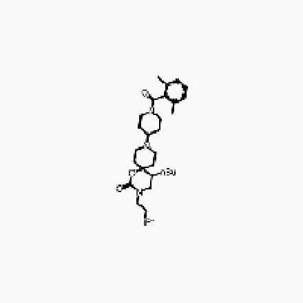 CCCCC1CN(CCC(C)C)C(=O)OC12CCN(C1CCN(C(=O)c3c(C)cccc3C)CC1)CC2